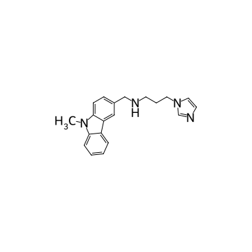 Cn1c2ccccc2c2cc(CNCCCn3ccnc3)ccc21